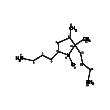 CC1CC(CCCN)N([O])C1(C)CCCN